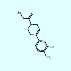 CC(C)(C)OC(=O)N1CC=C(c2ccc([N+](=O)[O-])c(F)c2)CC1